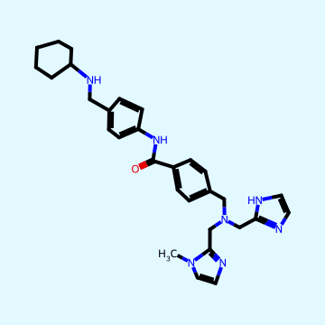 Cn1ccnc1CN(Cc1ccc(C(=O)Nc2ccc(CNC3CCCCC3)cc2)cc1)Cc1ncc[nH]1